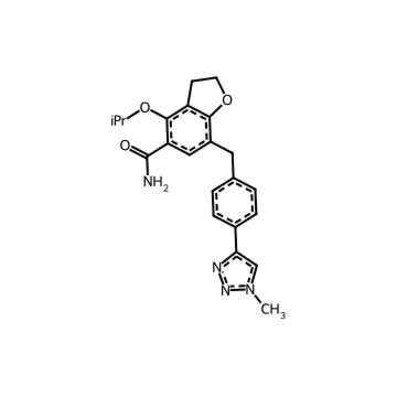 CC(C)Oc1c(C(N)=O)cc(Cc2ccc(-c3cn(C)nn3)cc2)c2c1CCO2